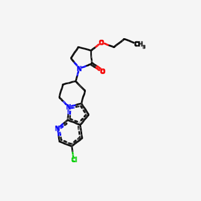 CCCOC1CCN(C2CCn3c(cc4cc(Cl)cnc43)C2)C1=O